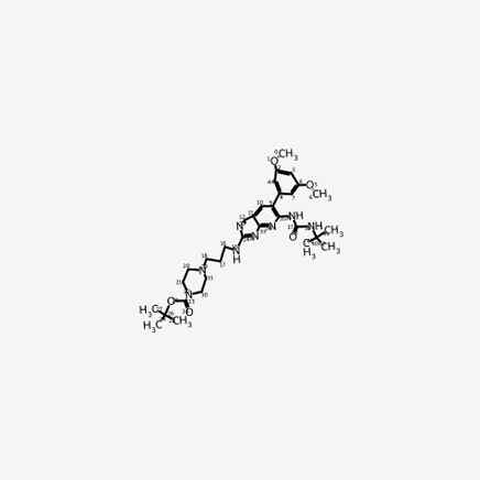 COc1cc(OC)cc(-c2cc3cnc(NCCCN4CCN(C(=O)OC(C)(C)C)CC4)nc3nc2NC(=O)NC(C)(C)C)c1